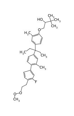 CCC(CC)(c1ccc(OCC(O)C(C)(C)C)c(C)c1)c1ccc(-c2ccc(CCOOC)c(F)c2)c(C)c1